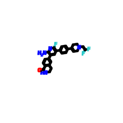 Nc1nc(F)c(-c2ccc(C3=CCN(CC(F)F)CC3)cc2)cc1-c1ccc2c(c1)CCNC2=O